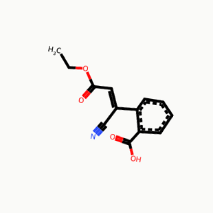 CCOC(=O)C=C(C#N)c1ccccc1C(=O)O